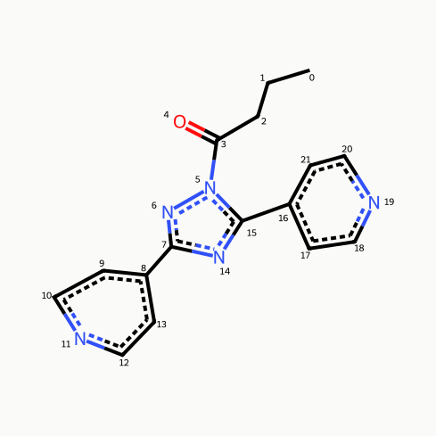 CCCC(=O)n1nc(-c2ccncc2)nc1-c1ccncc1